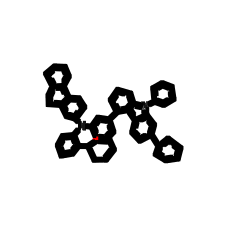 C1=CCC(c2ccccc2N(c2cccc(-c3cccc4c3c3ccc(-c5ccccc5)cc3n4-c3ccccc3)c2)c2ccc3c(ccc4ccccc43)c2)C=C1